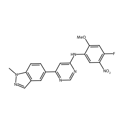 COc1cc(F)c([N+](=O)[O-])cc1Nc1cc(-c2ccc3c(cnn3C)c2)ncn1